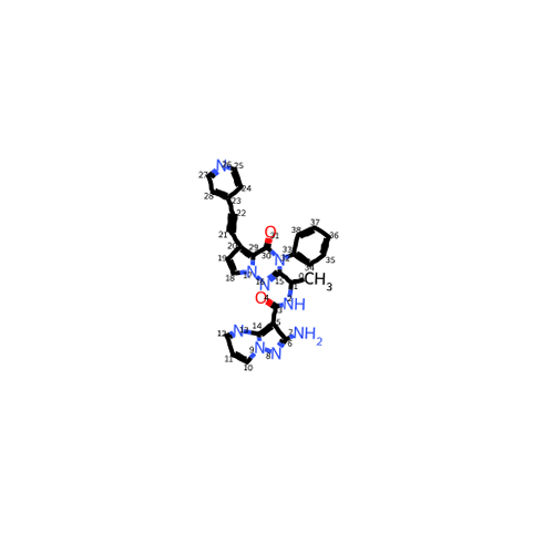 CC(NC(=O)c1c(N)nn2cccnc12)c1nn2ccc(C#Cc3ccncc3)c2c(=O)n1-c1ccccc1